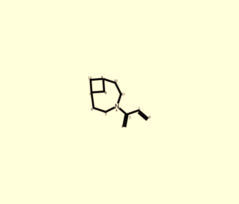 C=CC(=C)N1CCC2CC(CC1)C2